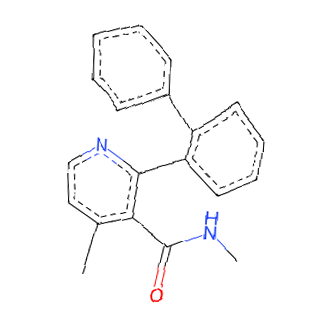 CNC(=O)c1c(C)ccnc1-c1ccccc1-c1ccccc1